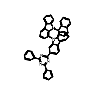 c1ccc(-c2nc(-c3ccccc3)nc(-c3ccc4c5ccccc5n(-c5cccc6c7ccccc7n(-c7cccc8ccccc78)c56)c4c3)n2)cc1